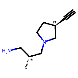 C#C[C@@H]1CCN(C[C@H](C)CN)C1